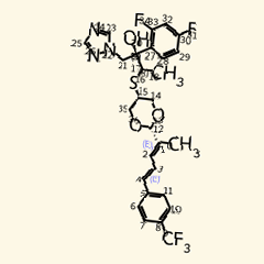 C/C(=C\C=C\c1ccc(C(F)(F)F)cc1)[C@H]1OC[C@H](S[C@H](C)[C@](O)(Cn2cncn2)c2ccc(F)cc2F)CO1